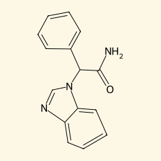 NC(=O)C(c1ccccc1)n1cnc2ccccc21